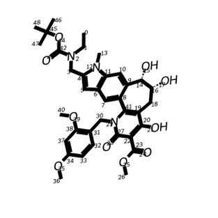 CCN(Cc1cc2cc3c(cc2n1C)[C@H](O)[C@H](O)Cc1c(O)c(C(=O)OC)c(=O)n(Cc2ccc(OC)cc2OC)c1-3)C(=O)OC(C)(C)C